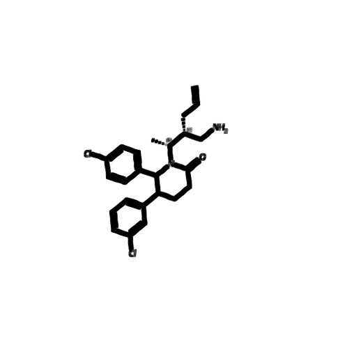 C=CC[C@H](CN)[C@@H](C)N1C(=O)CCC(c2cccc(Cl)c2)C1c1ccc(Cl)cc1